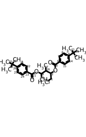 CCC(OC(=O)c1ccc(C(C)(C)C)cc1)C(C)C(C)OC(=O)c1ccc(C(C)(C)C)cc1